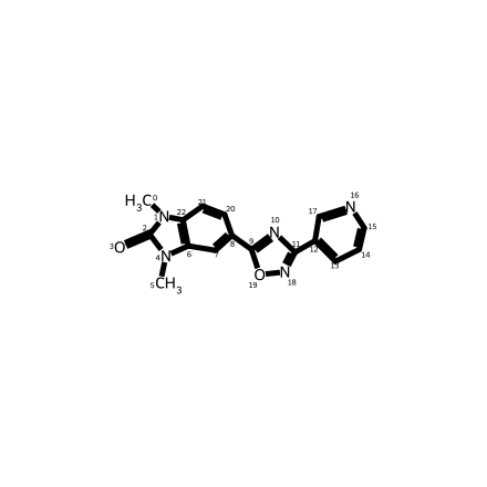 Cn1c(=O)n(C)c2cc(-c3nc(-c4cccnc4)no3)ccc21